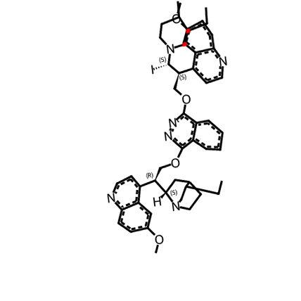 CCC1CN([C@@H](I)[C@H](COc2nnc(OC[C@H](c3ccnc4ccc(OC)cc34)[C@@H]3CC4CCN3CC4CC)c3ccccc23)c2ccnc3ccc(OC)cc23)CCC1C